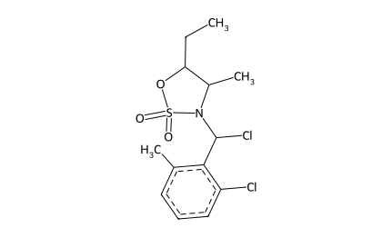 CCC1OS(=O)(=O)N(C(Cl)c2c(C)cccc2Cl)C1C